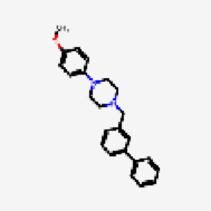 COc1ccc(N2CCN(Cc3cccc(-c4ccccc4)c3)CC2)cc1